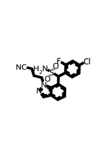 N#CCCCn1ncc2cccc(C(c3ccc(Cl)cc3F)S(N)(=O)=O)c21